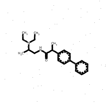 CCN(CC)C(C)CNC(=O)C(C)c1ccc(-c2ccccc2)cc1